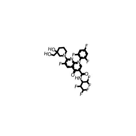 O=C(NC(C(F)F)C(F)C(F)F)c1cn(-c2c(F)cc(F)cc2F)c2nc(N3CCCC(O)(CO)C3)c(F)cc2c1=O